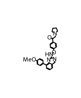 COc1ccc(-c2cccc3cnc(NOc4ccc(C(=O)CN5CCCC5)cc4)nc23)cc1